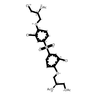 CC(=O)OC[C@H](COc1ccc(S(=O)(=O)c2ccc(OC[C@@H](CCl)OC(C)=O)c(Cl)c2)cc1Cl)OC(C)=O